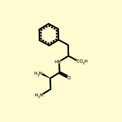 NC[C@@H](N)C(=O)NC(Cc1ccccc1)C(=O)O